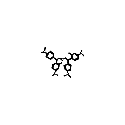 Cc1cc(N(C)C)ccc1C(COCC(c1ccc(N(C)C)cc1)c1ccc(N(C)C)cc1C)c1ccc(N(C)C)cc1